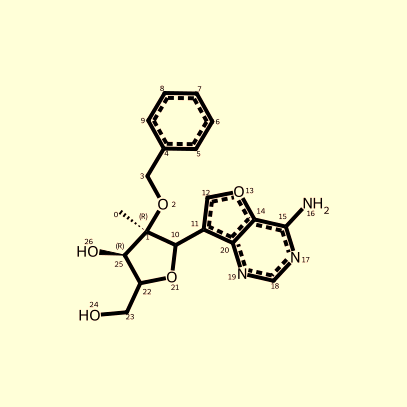 C[C@]1(OCc2ccccc2)C(c2coc3c(N)ncnc23)OC(CO)[C@H]1O